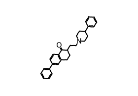 O=C1c2ccc(-c3ccccc3)cc2CCC1CCN1CCC(c2ccccc2)CC1